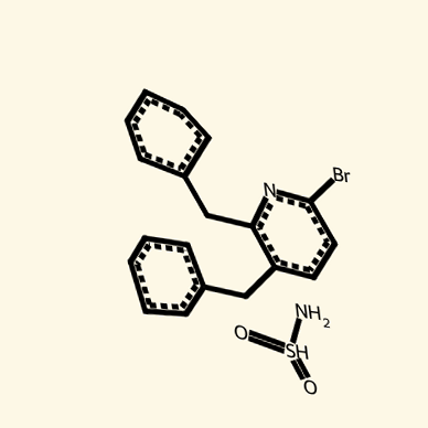 Brc1ccc(Cc2ccccc2)c(Cc2ccccc2)n1.N[SH](=O)=O